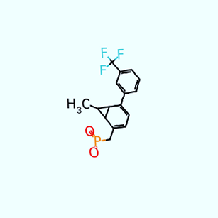 CC1C2C(CP(=O)=O)=CC=C(c3cccc(C(F)(F)F)c3)C12